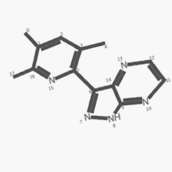 Cc1cc(C)c(-c2n[nH]c3nccnc23)nc1C